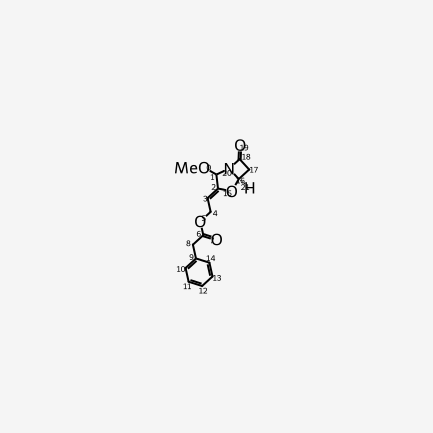 COC1/C(=C/COC(=O)Cc2ccccc2)O[C@@H]2CC(=O)N12